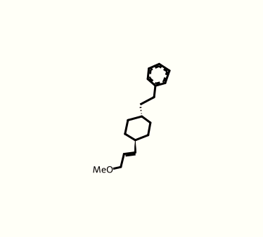 COCC=C[C@H]1CC[C@H](CCc2ccccc2)CC1